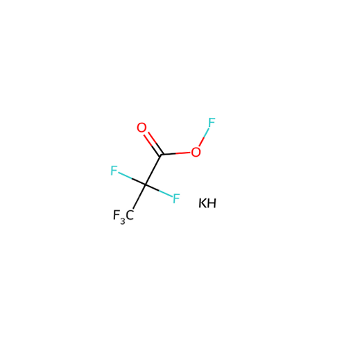 O=C(OF)C(F)(F)C(F)(F)F.[KH]